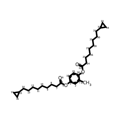 Cc1cc(OC(=O)CCCCCCCCC2CC2)ccc1OC(=O)CCCCCCCCC1CC1